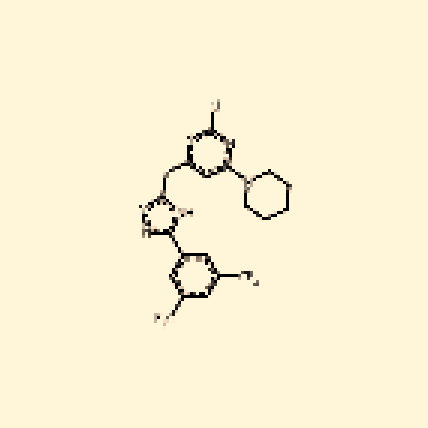 FC(F)(F)c1cc(-c2nnc(Sc3cc(N4CCCCC4)nc(Cl)n3)[nH]2)cc(C(F)(F)F)c1